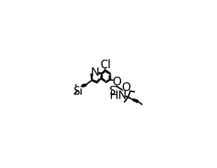 CC#CC(C)(CC)NC(=O)C(Oc1cc(Cl)c2ncc(C#C[Si](C)(C)C)cc2c1)SC